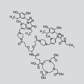 CCNC(=O)c1nnc(-c2cc(C(C)C)c(O)cc2O)n1-c1ccc(CN2CCN(C(=O)CCOCC(COCCC(=O)N3CCN(Cc4ccc(-n5c(C(=O)NCC)nnc5-c5cc(C(C)C)c(O)cc5O)cc4)CC3)NC(=O)CC[C@H](C(=O)O)N3CCN(CC(=O)O)CCN(CC(=O)O)CCN(CC(=O)O)CC3)CC2)cc1